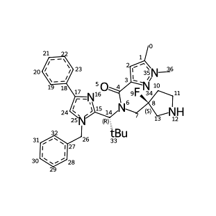 Cc1cc(C(=O)N(C[C@]2(F)CCNC2)[C@@H](c2nc(-c3ccccc3)cn2Cc2ccccc2)C(C)(C)C)nn1C